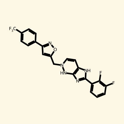 Fc1cccc(-c2nc3c([nH]2)C=CN(Cc2cc(-c4ccc(C(F)(F)F)cc4)no2)N3)c1F